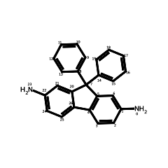 Nc1ccc2c(c1)C(c1ccccc1)(c1ccccc1)c1cc(N)ccc1-2